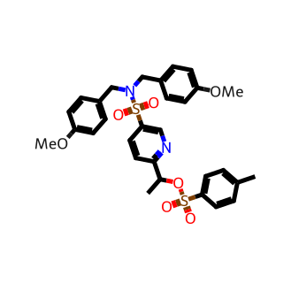 COc1ccc(CN(Cc2ccc(OC)cc2)S(=O)(=O)c2ccc(C(C)OS(=O)(=O)c3ccc(C)cc3)nc2)cc1